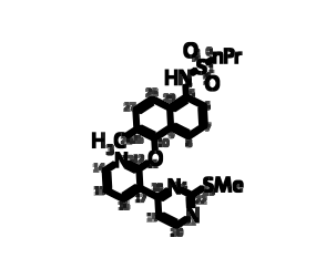 CCCS(=O)(=O)Nc1cccc2c(Oc3ncccc3-c3ccnc(SC)n3)c(C)ccc12